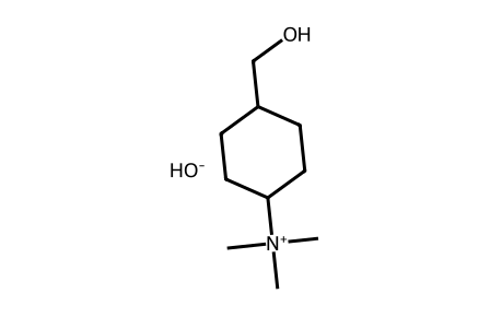 C[N+](C)(C)C1CCC(CO)CC1.[OH-]